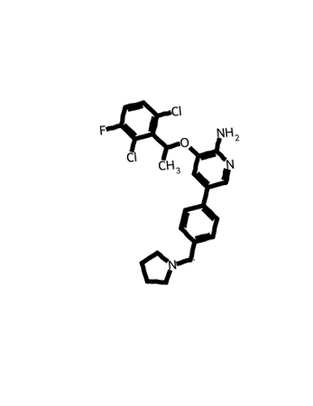 CC(Oc1cc(-c2ccc([CH]N3CCCC3)cc2)cnc1N)c1c(Cl)ccc(F)c1Cl